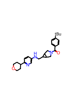 CC(C)(C)c1ccc(C(=O)N2CC3C(CNc4ccc(C5CCOCC5)nc4)C3C2)cc1